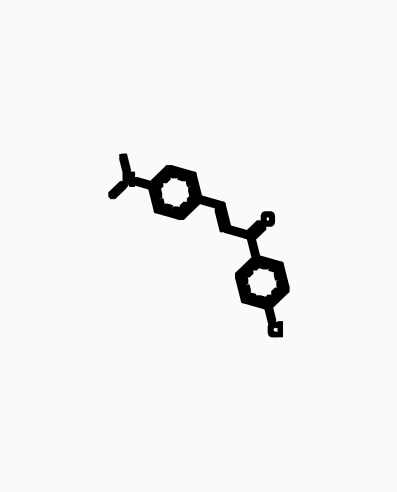 CN(C)c1ccc(/C=C/C(=O)c2ccc(Cl)cc2)cc1